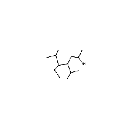 CCC(C(C)C)C(CC(C)S)C(C)C